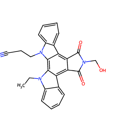 CCn1c2ccccc2c2c3c(c4c5ccccc5n(CCC#N)c4c21)C(=O)N(CO)C3=O